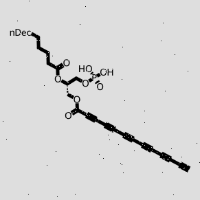 C#CC#CC#CC#CC#CC#CC(=O)OC[C@@H](COP(=O)(O)O)OC(=O)CCCCCCCCCCCCCC